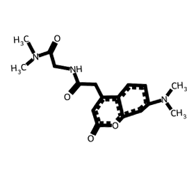 CN(C)C(=O)CNC(=O)Cc1cc(=O)oc2cc(N(C)C)ccc12